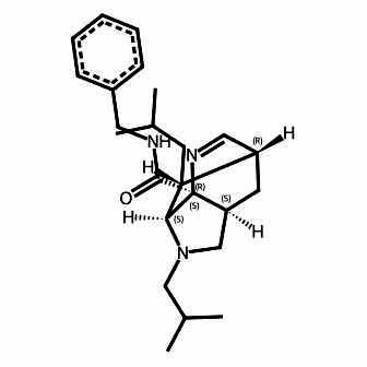 CC(C)C[C@@H]1[C@@H]2C=N[C@@]3(C(=O)NCc4ccccc4)[C@@H](C2)CN(CC(C)C)[C@@H]13